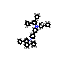 CC/C=C(\C=C/CC1=CC=CCC1)N(c1cc(-c2ccccc2)cc(-c2ccccc2)c1)C1C=CC(C2C=CC(N(c3ccccc3)c3ccc(-c4ccccc4)c4ccccc34)=CC2)=CC1